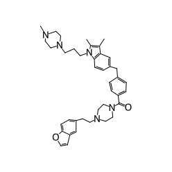 Cc1c(C)n(CCCN2CCN(C)CC2)c2ccc(Cc3ccc(C(=O)N4CCN(CCc5ccc6occc6c5)CC4)cc3)cc12